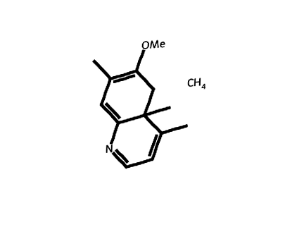 C.COC1=C(C)C=C2N=CC=C(C)C2(C)C1